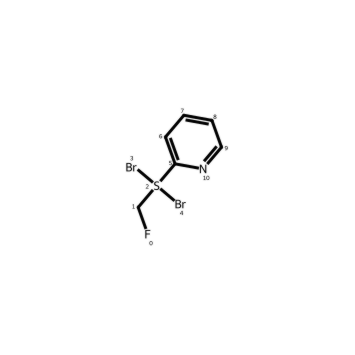 FCS(Br)(Br)c1ccccn1